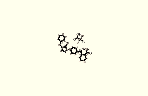 O=C(O)C(F)(F)F.O=c1[nH]nc(-c2ccc(-n3ncn(Cc4ccccc4)c3=O)cc2)c2ccccc12